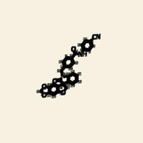 N#Cc1ccc(NC(=O)c2ccc(CN3C(=O)C4(COc5cc6c(cc54)OCO6)c4ccccc43)cc2)cc1